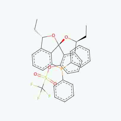 CC[C@@H]1O[C@@]2(O[C@@H](CC)c3cccc(P(c4ccccc4)c4ccccc4)c32)c2c(OS(=O)(=O)C(F)(F)F)cccc21